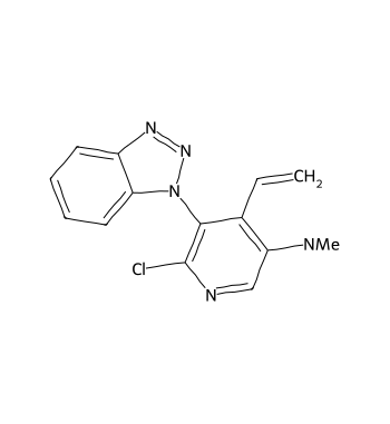 C=Cc1c(NC)cnc(Cl)c1-n1nnc2ccccc21